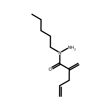 C=CCC(=C)C(=O)N(N)CCCCC